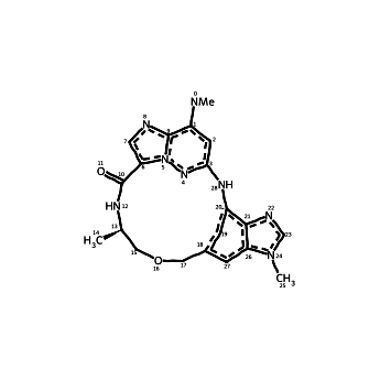 CNc1cc2nn3c(cnc13)C(=O)N[C@H](C)COCc1cc(c3ncn(C)c3c1)N2